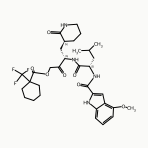 COc1cccc2[nH]c(C(=O)N[C@@H](CC(C)C)C(=O)N[C@@H](C[C@@H]3CCCNC3=O)C(=O)COC(=O)C3(C(F)(F)F)CCCCC3)cc12